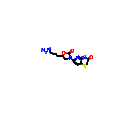 NCCCC1CN(c2ccc3c(n2)NC(=O)CS3)C(=O)O1